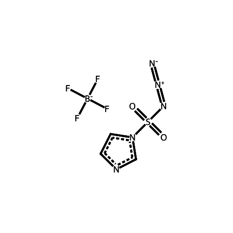 F[B-](F)(F)F.[N-]=[N+]=NS(=O)(=O)n1ccnc1